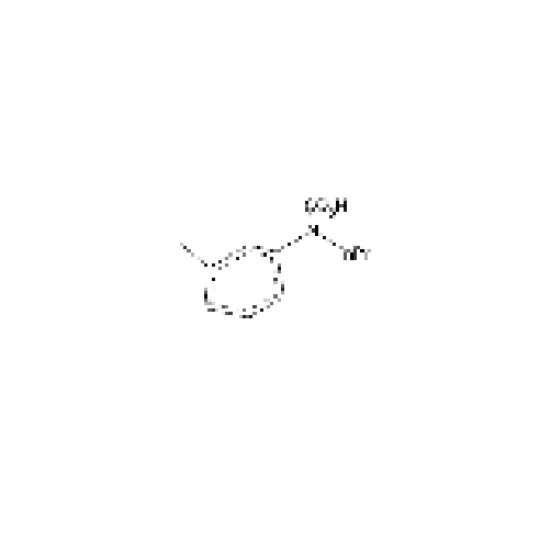 CCCN(C(=O)O)c1cc(C)cc(C)c1